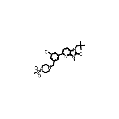 Cn1c(=O)n(CC(C)(C)C)c2ccc(-c3cc(Cl)cc(CN4CCN(S(C)(=O)=O)CC4)c3)nc21